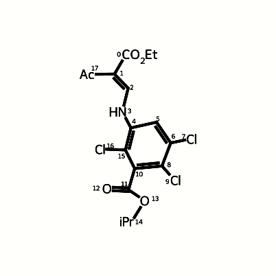 CCOC(=O)C(=CNc1cc(Cl)c(Cl)c(C(=O)OC(C)C)c1Cl)C(C)=O